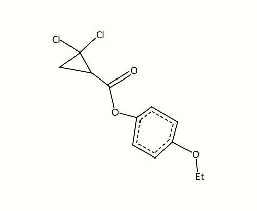 CCOc1ccc(OC(=O)C2CC2(Cl)Cl)cc1